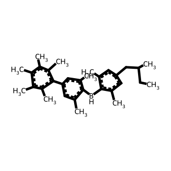 CCC(C)Cc1cc(C)c(Bc2c(C)cc(-c3c(C)c(C)c(C)c(C)c3C)cc2C)c(C)c1